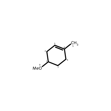 COC1CC=C(C)CC1